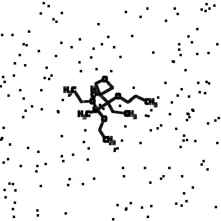 CCCOC(CC)(C1(C)COC1)[Si](C)(OCC)OCC